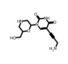 NCC#Cc1cn(C2CNCC(CO)O2)c(=O)[nH]c1=O